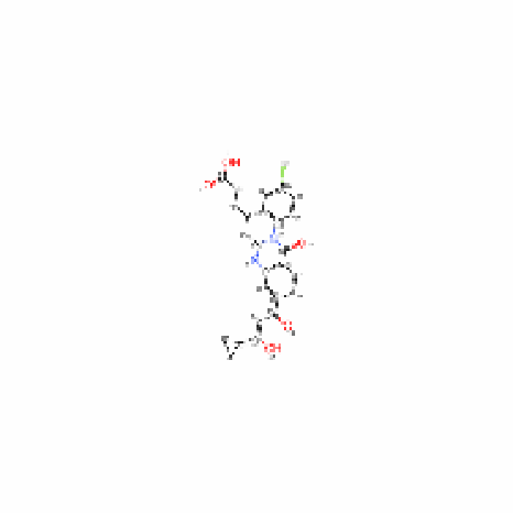 O=C(O)CCCCc1nc2cc(C(=O)/C=C(\O)C3CC3)ccc2c(=O)n1-c1ccc(F)cc1